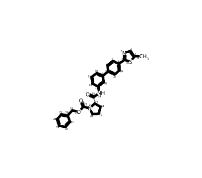 Cc1cnc(-c2ccc(-c3cccc(NC(=O)[C@@H]4CCCN4C(=O)OCc4ccccc4)c3)cc2)s1